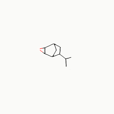 CC(C)C1CC2CC1C1OC21